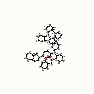 c1cc(-c2ccc(N(c3ccc(-c4ccc5ccccc5c4)cc3)c3ccccc3-c3ccc4ccccc4c3)cc2)cc(-c2ccccc2-n2c3ccccc3c3ccccc32)c1